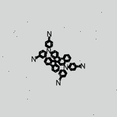 N#Cc1ccc(N(c2ccc(C#N)cc2)c2ccc3c(c2)C2(c4ccccc4-c4ccccc42)c2cc(N(c4ccc(C#N)cc4)c4ccc(C#N)cc4)c4ccccc4c2-3)cc1